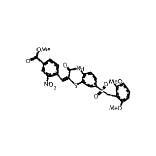 COC(=O)c1ccc(C=C2Sc3cc(S(=O)(=O)Cc4c(OC)cccc4OC)ccc3NC2=O)c([N+](=O)[O-])c1